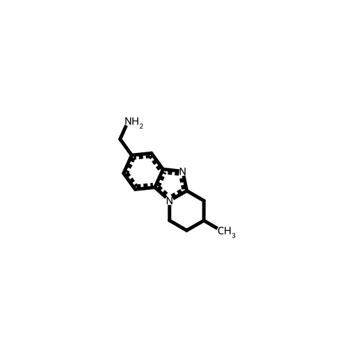 CC1CCn2c(nc3cc(CN)ccc32)C1